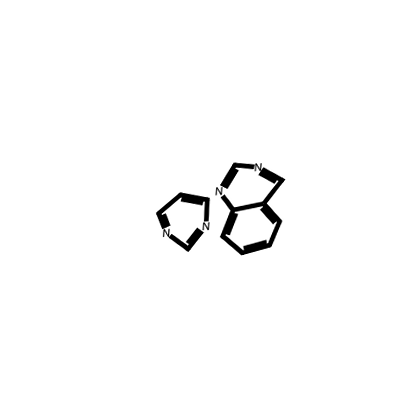 c1ccc2ncncc2c1.c1cncnc1